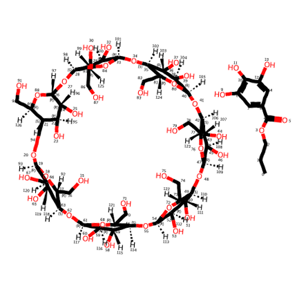 CCCOC(=O)c1cc(O)c(O)c(O)c1.OC[C@H]1O[C@@H]2O[C@H]3[C@H](O)[C@@H](O)[C@@H](O[C@H]4[C@H](O)[C@@H](O)[C@@H](O[C@H]5[C@H](O)[C@@H](O)[C@@H](O[C@H]6[C@H](O)[C@@H](O)[C@@H](O[C@H]7[C@H](O)[C@@H](O)[C@@H](O[C@H]8[C@H](O)[C@@H](O)[C@@H](O[C@H]1[C@H](O)[C@H]2O)O[C@@H]8CO)O[C@@H]7CO)O[C@@H]6CO)O[C@@H]5CO)O[C@@H]4CO)O[C@@H]3CO